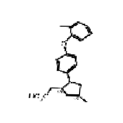 Cc1ccccc1Oc1ccc(N2C[C@@H](C)C[C@H]2CC(=O)O)cc1